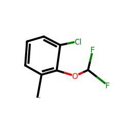 [CH2]c1cccc(Cl)c1OC(F)F